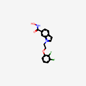 O=C(NO)c1ccc2ccn(CCOc3cccc(F)c3F)c2c1